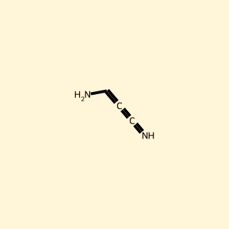 N=C=C=CN